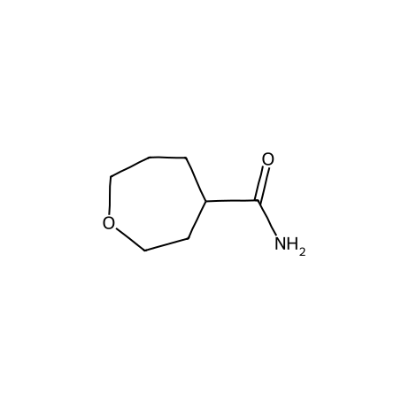 NC(=O)C1CCCOCC1